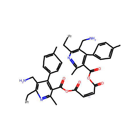 Cc1ccc(-c2c(CN)c(CC(C)C)nc(C)c2C(=O)OC(=O)/C=C\C(=O)OC(=O)c2c(C)nc(CC(C)C)c(CN)c2-c2ccc(C)cc2)cc1